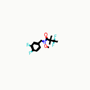 CON(Cc1ccc(F)c(F)c1)C(=O)C(C)(C)C(C)(F)F